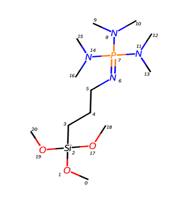 CO[Si](CCCN=P(N(C)C)(N(C)C)N(C)C)(OC)OC